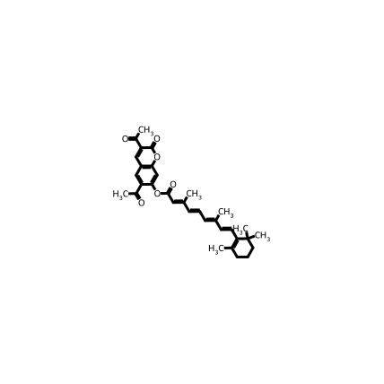 CC(=O)c1cc2cc(C(C)=O)c(=O)oc2cc1OC(=O)/C=C(C)/C=C/C=C(C)/C=C/C1=C(C)CCCC1(C)C